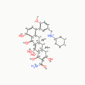 COc1ccc(CNC2CCCCC2)cc1-c1ccc(O)c2c1C[C@H]1C[C@H]3CC(O)=C(C(N)=O)C(=O)[C@@]3(O)C(O)=C1C2=O